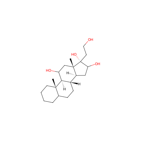 C[C@]12CCCCC1CC[C@@H]1[C@@H]2C(O)C[C@@]2(C)[C@H]1CC(O)[C@]2(O)CCO